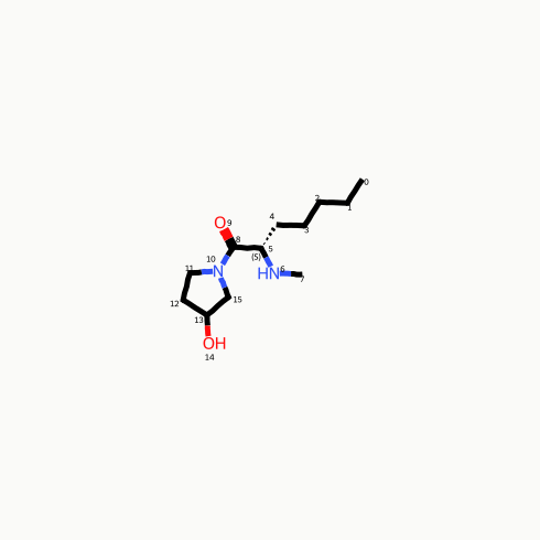 CCCCC[C@H](NC)C(=O)N1CCC(O)C1